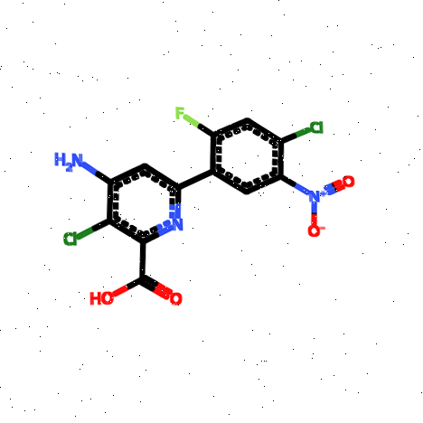 Nc1cc(-c2cc([N+](=O)[O-])c(Cl)cc2F)nc(C(=O)O)c1Cl